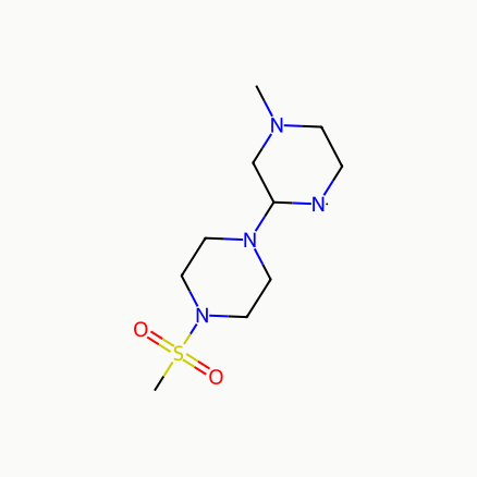 CN1CC[N]C(N2CCN(S(C)(=O)=O)CC2)C1